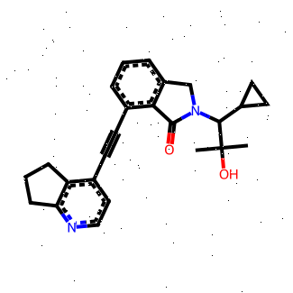 CC(C)(O)C(C1CC1)N1Cc2cccc(C#Cc3ccnc4c3CCC4)c2C1=O